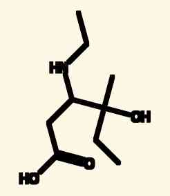 CCNC(CC(=O)O)C(C)(O)CC